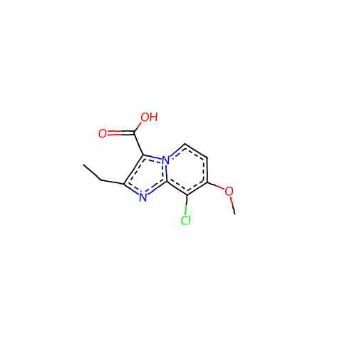 CCc1nc2c(Cl)c(OC)ccn2c1C(=O)O